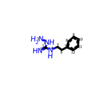 N=C(NN)NCCc1ccccc1